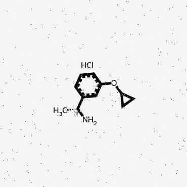 C[C@@H](N)c1cccc(OC2CC2)c1.Cl